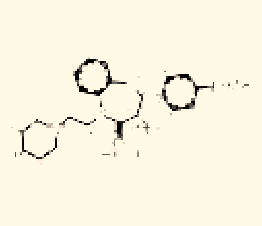 COc1ccc([C@H]2Sc3ccccc3N(CCN3CCCCC3)C(=O)[C@@H]2O)cc1.Cl